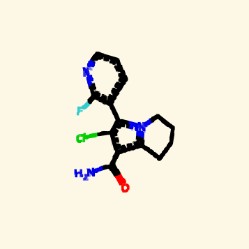 NC(=O)c1c(Cl)c(-c2cccnc2F)n2c1CCCC2